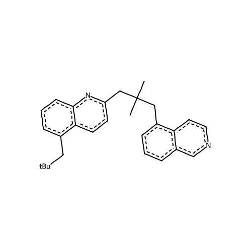 CC(C)(C)Cc1cccc2nc(CC(C)(C)Cc3cccc4cnccc34)ccc12